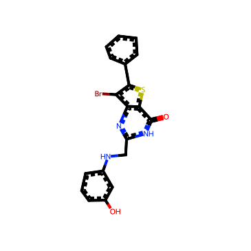 O=c1[nH]c(CNc2cccc(O)c2)nc2c(Br)c(-c3ccccc3)sc12